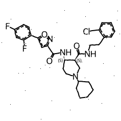 O=C(N[C@H]1CCN(C2CCCCC2)C[C@@H]1C(=O)NCCc1ccccc1Cl)c1cc(-c2ccc(F)cc2F)on1